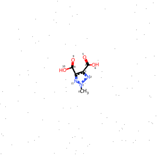 Cn1nc(C(=O)O)c(C(=O)O)n1